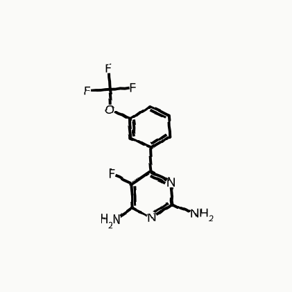 Nc1nc(N)c(F)c(-c2cccc(OC(F)(F)F)c2)n1